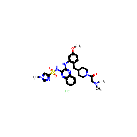 COc1ccc(CC2CCN(C(=O)CN(C)C)CC2)c(Nc2nc3ccccc3nc2NS(=O)(=O)c2cn(C)cn2)c1.Cl